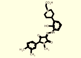 Cc1ccc(C2C(=O)C(=NNc3cccc(C4CCN(CC(=O)O)CC4)c3O)C(=O)N2C)cc1C